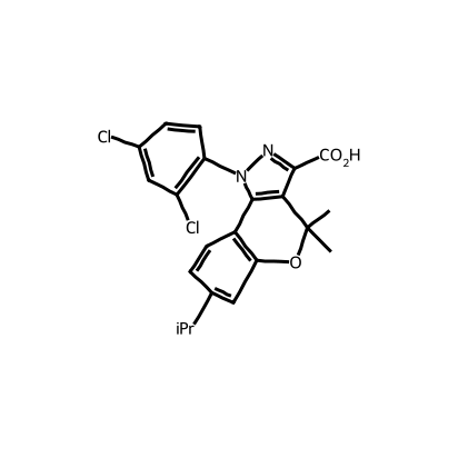 CC(C)c1ccc2c(c1)OC(C)(C)c1c(C(=O)O)nn(-c3ccc(Cl)cc3Cl)c1-2